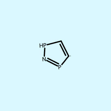 [c]1c[pH]np1